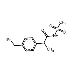 CC(C)Cc1ccc(C(C)C(=O)NS(C)(=O)=O)cc1